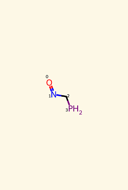 O=NCP